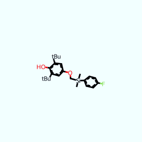 CC(C)(C)c1cc(OC[Si](C)(C)c2ccc(F)cc2)cc(C(C)(C)C)c1O